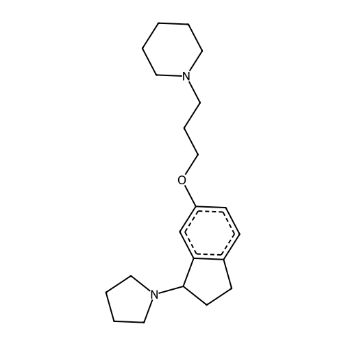 c1cc2c(cc1OCCCN1CCCCC1)C(N1CCCC1)CC2